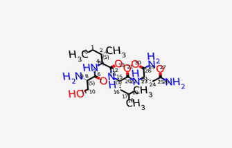 CC[C@H](C)[C@H](NC(=O)[C@@H](N)CO)C(=O)N[C@@H](CC(C)C)C(=O)N[C@@H](CC(N)=O)C(N)=O